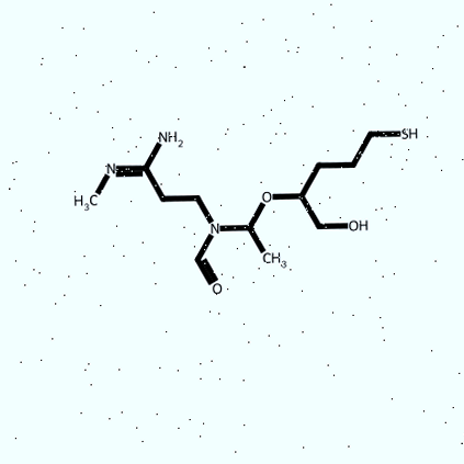 C/N=C(/N)CCN(C=O)C(C)OC(CO)CCCS